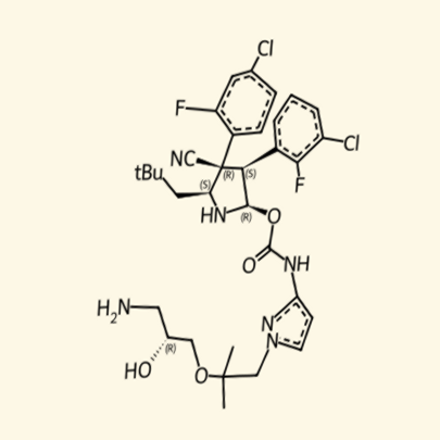 CC(C)(C)C[C@@H]1N[C@H](OC(=O)Nc2ccn(CC(C)(C)OC[C@H](O)CN)n2)[C@H](c2cccc(Cl)c2F)[C@@]1(C#N)c1ccc(Cl)cc1F